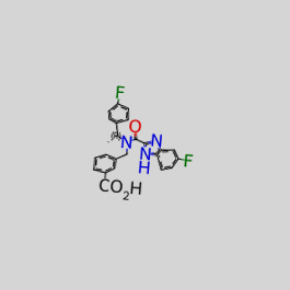 C[C@H](c1ccc(F)cc1)N(Cc1cccc(C(=O)O)c1)C(=O)c1nc2cc(F)ccc2[nH]1